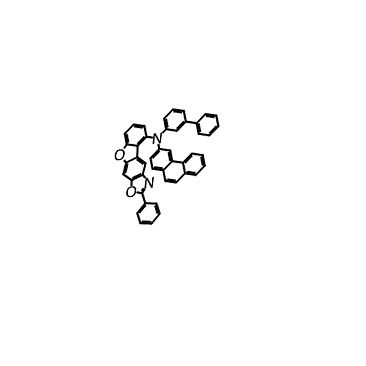 c1ccc(-c2cccc(N(c3ccc4ccc5ccccc5c4c3)c3cccc4oc5cc6oc(-c7ccccc7)nc6cc5c34)c2)cc1